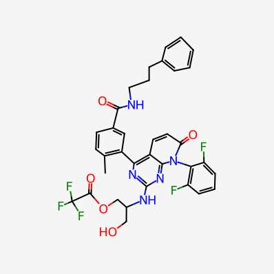 Cc1ccc(C(=O)NCCCc2ccccc2)cc1-c1nc(NC(CO)COC(=O)C(F)(F)F)nc2c1ccc(=O)n2-c1c(F)cccc1F